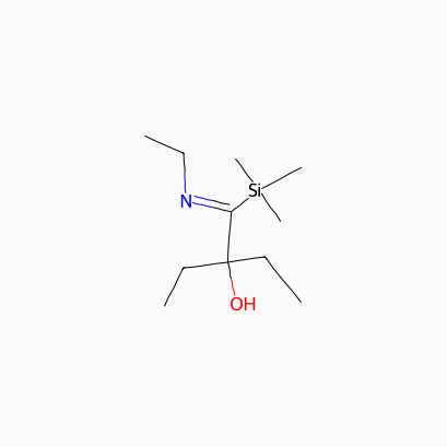 CCN=C(C(O)(CC)CC)[Si](C)(C)C